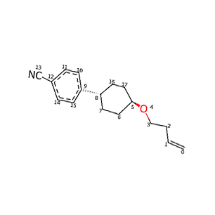 C=CCCO[C@H]1CC[C@H](c2ccc(C#N)cc2)CC1